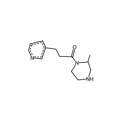 CC1CNCCN1C(=O)CCc1cccnc1